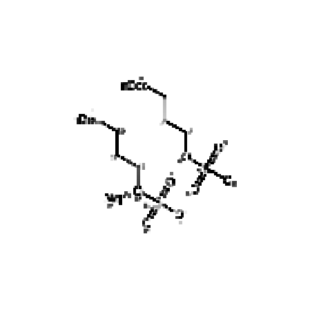 CCCCCCCCCCCCCOS(=O)(=O)[O-].CCCCCCCCCCCCCOS(=O)(=O)[O-].[Mg+2]